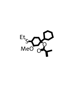 C=C(C)C(=O)OC1(C2CCCCC2)CCC(SCC)C(OC)C1